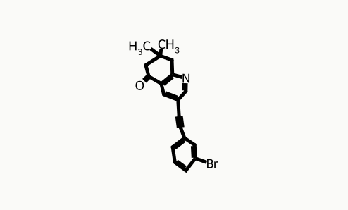 CC1(C)CC(=O)c2cc(C#Cc3cccc(Br)c3)cnc2C1